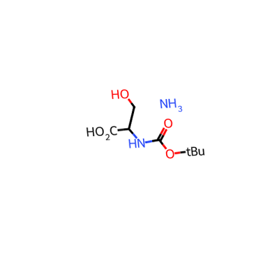 CC(C)(C)OC(=O)NC(CO)C(=O)O.N